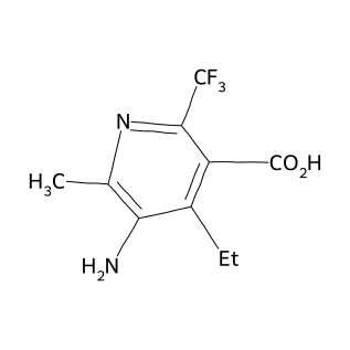 CCc1c(N)c(C)nc(C(F)(F)F)c1C(=O)O